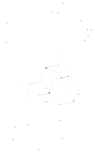 CC(=O)OC1C2CC3CC(CC1(OC(C)=O)C3)C2O